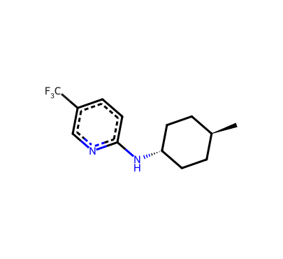 C[C@H]1CC[C@H](Nc2ccc(C(F)(F)F)cn2)CC1